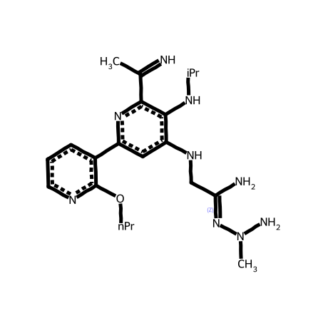 CCCOc1ncccc1-c1cc(NC/C(N)=N/N(C)N)c(NC(C)C)c(C(C)=N)n1